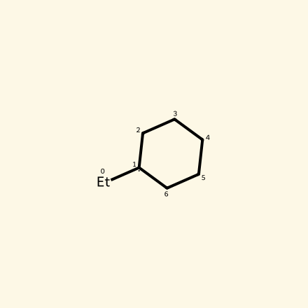 [CH2]C[C]1CCCCC1